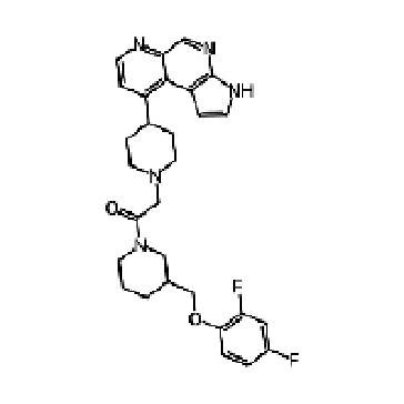 O=C(CN1CCC(c2ccnc3cnc4[nH]ccc4c23)CC1)N1CCCC(COc2ccc(F)cc2F)C1